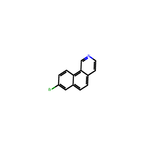 Brc1ccc2c(ccc3ccncc32)c1